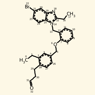 CCc1cc(COc2ccccc2Cn2c(CC)nc3cc(Br)ccc32)ccc1CCC=O